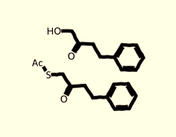 CC(=O)SCC(=O)CCc1ccccc1.O=C(CO)CCc1ccccc1